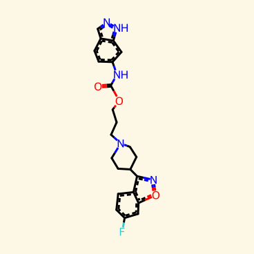 O=C(Nc1ccc2cn[nH]c2c1)OCCCN1CCC(c2noc3cc(F)ccc23)CC1